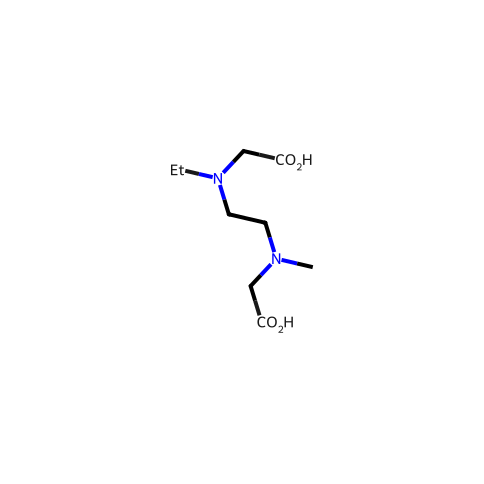 CCN(CCN(C)CC(=O)O)CC(=O)O